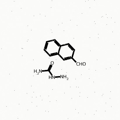 NNC(N)=O.O=Cc1ccc2ccccc2c1